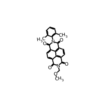 COCN1C(=O)c2ccc3c4c(ccc(c24)C1=O)C(=O)N(c1c(C)cccc1C)C3=O